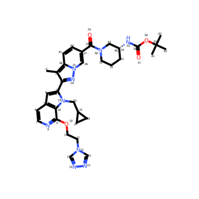 Cc1c(-c2cc3ccnc(OCCn4cnnc4)c3n2CC2CC2)nn2cc(C(=O)N3CCC[C@@H](NC(=O)OC(C)(C)C)C3)ccc12